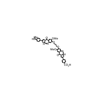 COc1cc2c(cc1OCCCOc1cc3c(cc1OC)C(=O)N1C=C(c4ccc(C(=O)O)cc4)C[C@H]1C=N3)N=C[C@@H]1CC(c3ccc(NC(C)(C)C)cc3)=CN1C2=O